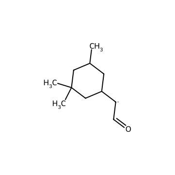 CC1CC([CH]C=O)CC(C)(C)C1